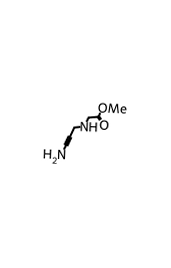 COC(=O)CNCC#CN